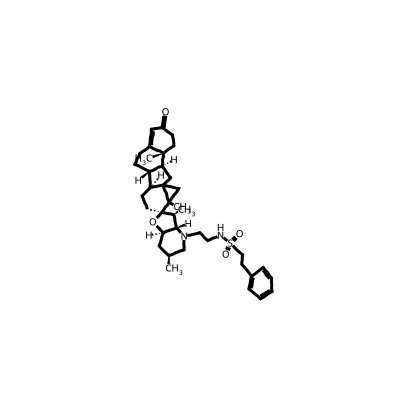 C[C@H]1C[C@H]2O[C@]3(CC[C@H]4[C@@H]5CCC6=CC(=O)CC[C@]6(C)[C@H]5CC45CC53C)[C@H](C)[C@@H]2N(CCNS(=O)(=O)CCc2ccccc2)C1